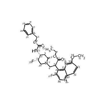 CCOC(=O)C(CN1CC[C@@H](NC(=O)OCc2ccccc2)[C@@H](F)C1)c1c(F)cnc2ccc(OC)nc12